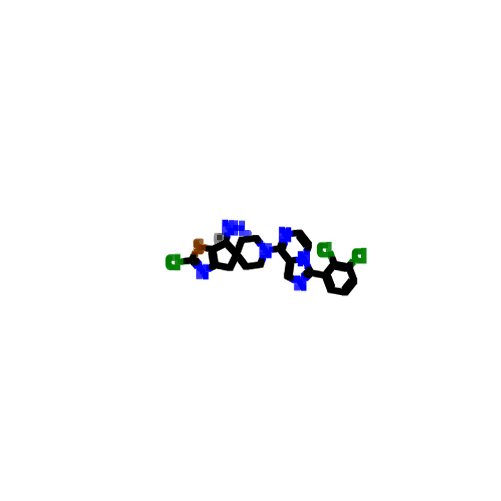 N[C@@H]1c2sc(Cl)nc2CC12CCN(c1nccn3c(-c4cccc(Cl)c4Cl)ncc13)CC2